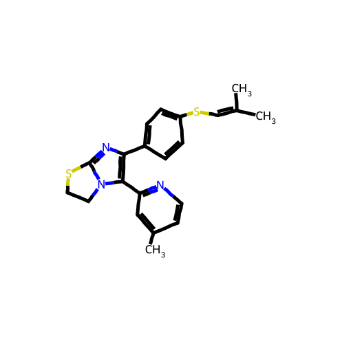 CC(C)=CSc1ccc(-c2nc3n(c2-c2cc(C)ccn2)CCS3)cc1